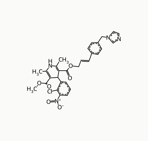 COC(=O)C1=C(C)NC(C)=C(C(=O)OCC=Cc2ccc(Cn3ccnc3)cc2)C1c1cccc([N+](=O)[O-])c1Cl